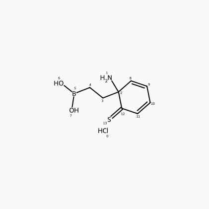 Cl.NC1(CCB(O)O)C=CC=CC1=S